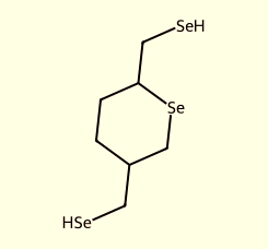 [SeH]CC1CCC(C[SeH])[Se]C1